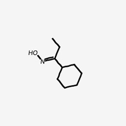 CCC(=NO)C1CCCCC1